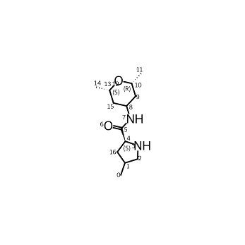 CC1CN[C@H](C(=O)NC2C[C@@H](C)O[C@@H](C)C2)C1